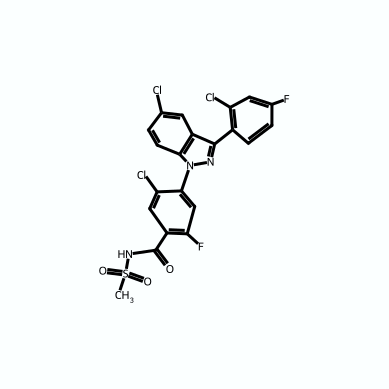 CS(=O)(=O)NC(=O)c1cc(Cl)c(-n2nc(-c3ccc(F)cc3Cl)c3cc(Cl)ccc32)cc1F